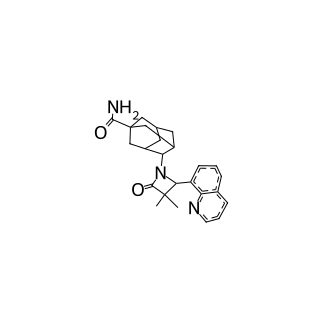 CC1(C)C(=O)N(C2C3CC4CC2CC(C(N)=O)(C4)C3)C1c1cccc2cccnc12